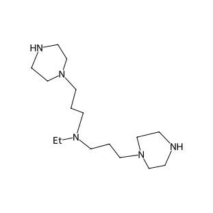 CCN(CCCN1CCNCC1)CCCN1CCNCC1